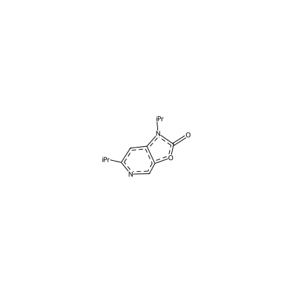 CC(C)c1cc2c(cn1)oc(=O)n2C(C)C